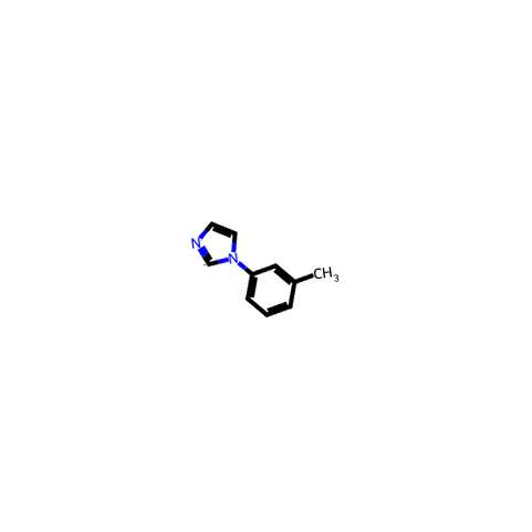 Cc1cccc(-n2[c]ncc2)c1